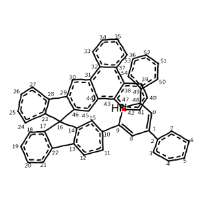 C1=C(c2ccccc2)C=C(c2ccc3c(c2)C2(c4ccccc4-3)c3ccccc3-c3cc4c5ccccc5c5ccccc5c4cc32)NC1c1ccccc1